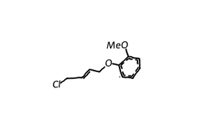 COc1ccc[c]c1OCC=CCCl